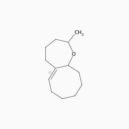 CC1CCC/C2=C/CCCCCC2O1